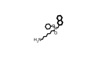 NCCCCCCC(=O)N(Cc1ccc2ccccc2c1)OC1CCCCC1